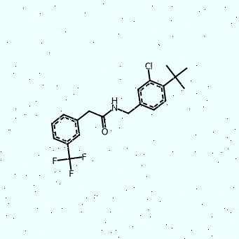 CC(C)(C)c1ccc(CNC(=O)Cc2cccc(C(F)(F)F)c2)cc1Cl